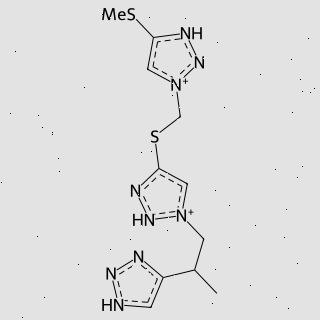 CSc1c[n+](CSc2c[n+](CC(C)c3c[nH]nn3)[nH]n2)n[nH]1